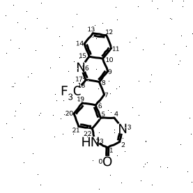 O=C1C=NCc2c(Cc3cc4ccccc4nc3C(F)(F)F)cccc2N1